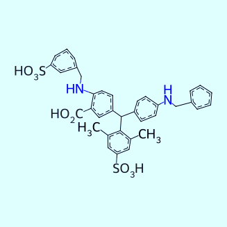 Cc1cc(S(=O)(=O)O)cc(C)c1C(c1ccc(NCc2ccccc2)cc1)c1ccc(NCc2cccc(S(=O)(=O)O)c2)c(C(=O)O)c1